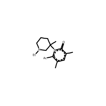 CCN1CCCC(C)(n2c(C(C)=O)c(C)cc(C)c2=O)C1